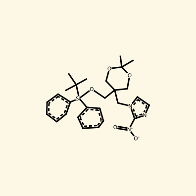 CC1(C)OCC(CO[Si](c2ccccc2)(c2ccccc2)C(C)(C)C)(Cn2ccnc2[N+](=O)[O-])CO1